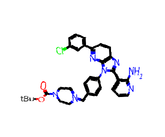 CC(C)(C)OC(=O)N1CCN(Cc2ccc(-n3c(-c4cccnc4N)nc4ccc(-c5cccc(Cl)c5)nc43)cc2)CC1